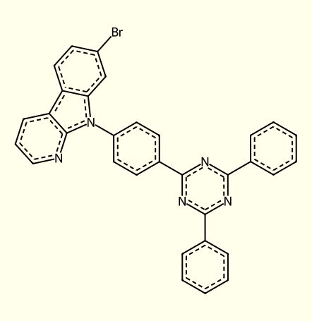 Brc1ccc2c3cccnc3n(-c3ccc(-c4nc(-c5ccccc5)nc(-c5ccccc5)n4)cc3)c2c1